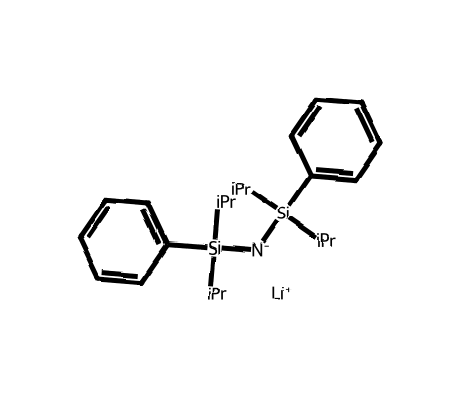 CC(C)[Si]([N-][Si](c1ccccc1)(C(C)C)C(C)C)(c1ccccc1)C(C)C.[Li+]